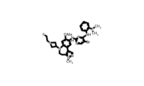 COc1cc2c(cc1Nc1ncc(Br)c(Nc3ccccc3P(C)C)n1)-c1cnn(C)c1CCN2C1CN(CCF)C1